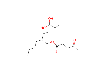 CCC(O)O.CCCCC(CC)COC(=O)CCC(C)=O